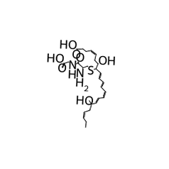 CC/C=C\CC(O)/C=C/C=C\C=C\C=C\C(SCC(N)C(=O)NCC(=O)O)C(O)C/C=C\CCC(=O)O